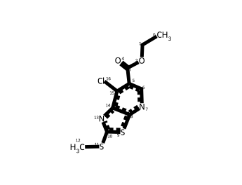 CCOC(=O)c1cnc2sc(SC)nc2c1Cl